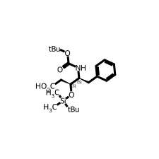 CC(C)(C)OC(=O)N[C@@H](Cc1ccccc1)[C@H](CC(=O)O)O[Si](C)(C)C(C)(C)C